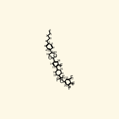 CCCCCc1ccc(C2COC(c3ccc(C4CCC(C(F)(F)Oc5cc(F)c(F)c(F)c5)CC4)c(F)c3)OC2)cc1